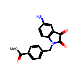 COC(=O)c1ccc(CN2C(=O)C(=O)c3cc(N)ccc32)cc1